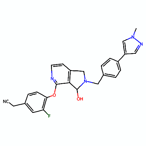 Cn1cc(-c2ccc(CN3Cc4ccnc(Oc5ccc(CC#N)cc5F)c4C3O)cc2)cn1